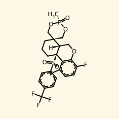 C[P@]1(=O)OC[C@@]2(CCC[C@@]3(S(=O)(=O)c4ccc(C(F)(F)F)cc4)c4c(F)ccc(F)c4OC[C@@H]23)CO1